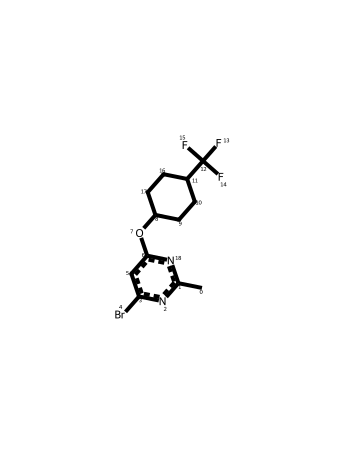 Cc1nc(Br)cc(OC2CCC(C(F)(F)F)CC2)n1